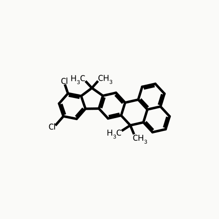 CC1(C)c2cc3c(cc2-c2cc(Cl)cc(Cl)c21)C(C)(C)c1cccc2cccc-3c12